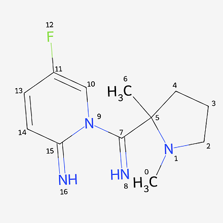 CN1CCCC1(C)C(=N)n1cc(F)ccc1=N